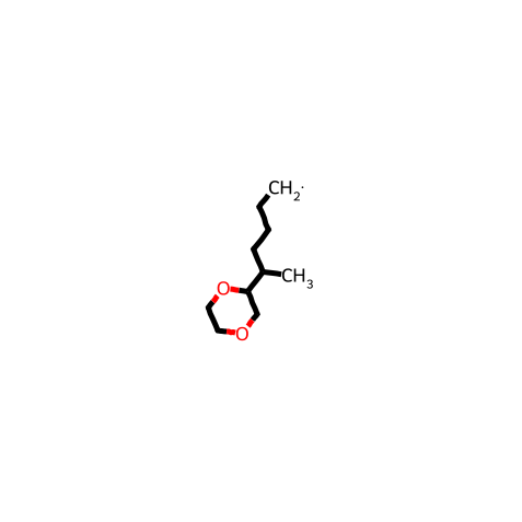 [CH2]CCCC(C)C1COCCO1